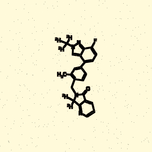 [2H]C1([2H])c2ncccc2C(=O)N1Cc1ccc(-c2ccc(F)c3nn(C([2H])([2H])[2H])cc23)cc1C